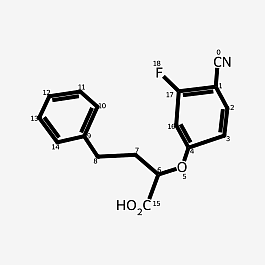 N#Cc1ccc(OC(CCc2ccccc2)C(=O)O)cc1F